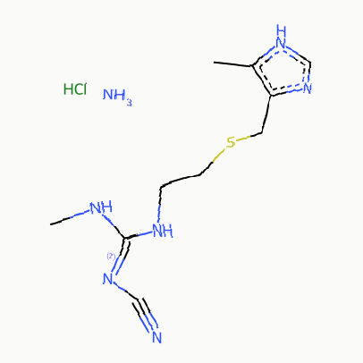 CN/C(=N/C#N)NCCSCc1nc[nH]c1C.Cl.N